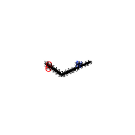 CCCCCCCC(CCCCCCCCCC/C=C\CCCCCCCC(=O)OCC)N(C)C